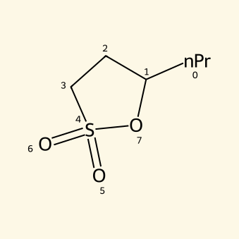 CCCC1CCS(=O)(=O)O1